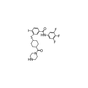 O=C(Nc1cc(F)c(F)c(F)c1)c1ccc(I)c(SC2CCC(C(=O)N3CCNCC3)CC2)c1